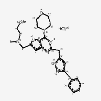 COCCN(C)Cc1cc2nc(Cc3cc(-c4ccccc4)n[nH]3)nc(N3CCOCC3)c2o1.Cl